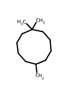 CC1CCCCC(C)(C)CCCC1